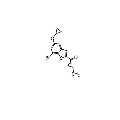 CCOC(=O)c1cc2cc(OC3CC3)cc(Br)c2s1